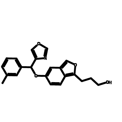 Cc1cccc(C(Oc2ccc3c(CCCO)occ3c2)c2cocn2)c1